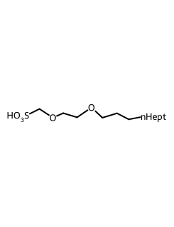 CCCCCCCCCCOCCOCS(=O)(=O)O